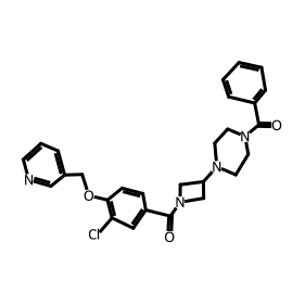 O=C(c1ccccc1)N1CCN(C2CN(C(=O)c3ccc(OCc4cccnc4)c(Cl)c3)C2)CC1